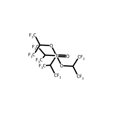 [O]=[Ti]([O]C(C(F)(F)F)C(F)(F)F)([O]C(C(F)(F)F)C(F)(F)F)([CH](C(F)(F)F)C(F)(F)F)[CH](C(F)(F)F)C(F)(F)F